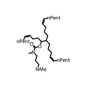 CCCCC/C=C\CCCC(CCC/C=C\CCCCC)C(CC/C=C\CCCCC)OC(=O)N(C)CCCNC